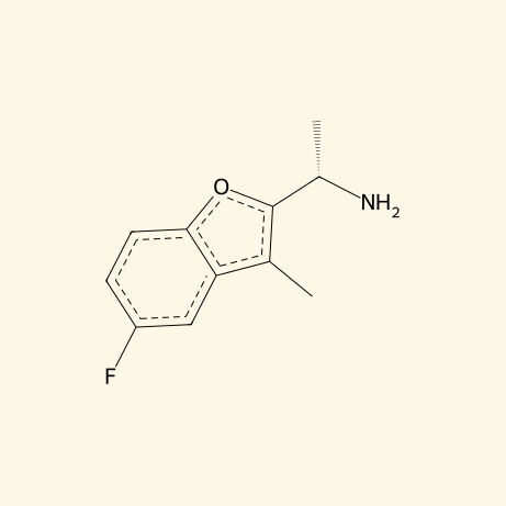 Cc1c([C@H](C)N)oc2ccc(F)cc12